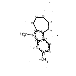 Cc1ccc2c3c(n(C)c2n1)CCCCC3